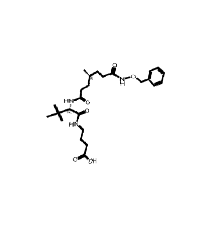 C[C@@H](CCC(=O)NOCc1ccccc1)CCC(=O)N[C@H](C(=O)NCCCC(=O)O)C(C)(C)C